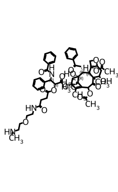 CNCCOCCNC(=O)CCC(=O)O[C@H](C(=O)O[C@@H]1C[C@@]2(O)[C@H](CC(=O)c3ccccc3)[C@@H]3C(C)(C(=O)C(OC(C)=O)C(=C1C)C2(C)C)C(O)CC1OC[C@@]13OC(C)=O)[C@H](NC(=O)c1ccccc1)c1ccccc1